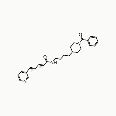 O=C(/C=C/C=C/c1cccnc1)NCCCCC1CCN(C(=O)c2ccccc2)CC1